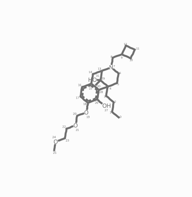 CCCCC12CCN(CC3CCC3)C(Cc3ccc(OCOCCOC)c(O)c31)C2(C)O